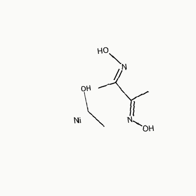 CC(=N\O)/C(C)=N/O.CCO.[Ni]